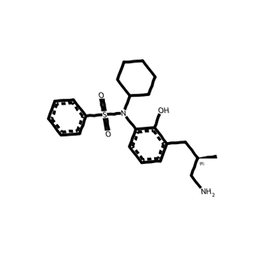 C[C@@H](CN)Cc1cccc(N(C2CCCCC2)S(=O)(=O)c2ccccc2)c1O